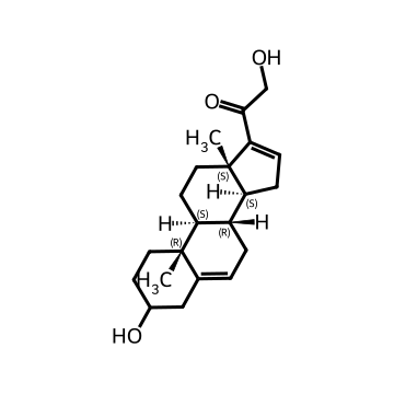 C[C@]12CCC(O)CC1=CC[C@@H]1[C@@H]2CC[C@]2(C)C(C(=O)CO)=CC[C@@H]12